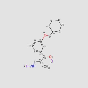 C[C@H](CNI)[C@@H](OI)c1cccc(OCC2CCCCC2)c1